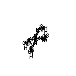 C[C@@H]1CNc2c(sc3ccc4nc(-c5ccc(N6CCN(CC7CN(c8cccc9c8n(C)c(=O)n9C8CCC(=O)NC8=O)C7)C(C7CN(c8ccc(-c9ccc%10c(ccc%11sc%12c(c%11%10)N(C)C[C@@H](C)NC%12=O)n9)cn8)CCN7CC7CCN(c8ccc9c(c8)n(C)c(=O)n9C8CCC(=O)NC8=O)CC7)C6)cc5)ccc4c23)C(=O)N1